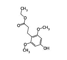 CCOC(=O)CCc1c(OC)cc(O)cc1OC